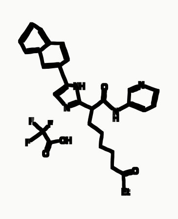 CCC(=O)CCCCCC(C(=O)Nc1cccnc1)c1ncc(-c2ccc3ccccc3c2)[nH]1.O=C(O)C(F)(F)F